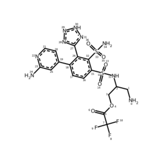 NCC(COC(=O)C(F)(F)F)NS(=O)(=O)c1ccc(-c2ccnc(N)c2)c(-c2nn[nH]n2)c1S(N)(=O)=O